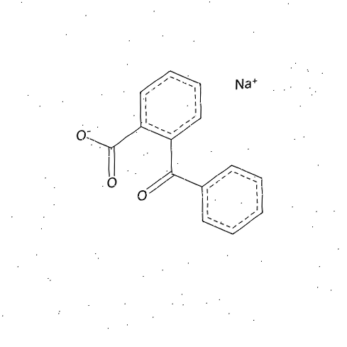 O=C([O-])c1ccccc1C(=O)c1ccccc1.[Na+]